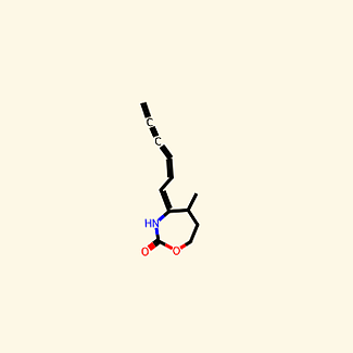 C=C=C=C=C/C=C1/NC(=O)OCCC1C